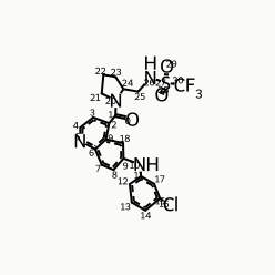 O=C(c1ccnc2ccc(Nc3cccc(Cl)c3)cc12)N1CCCC1CNS(=O)(=O)C(F)(F)F